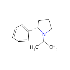 CC(C)N1CCC[C@H]1c1ccccc1